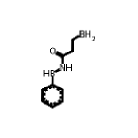 BCCC(=O)NBc1ccccc1